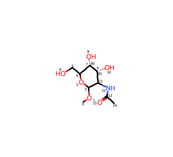 COC1OC(CO)[C@H](O)[C@H](O)C1NC(C)=O